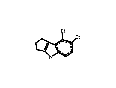 CCc1ccc2c(c1CC)C1=C(CCC1)[N]2